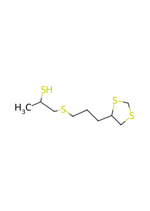 CC(S)CSCCCC1CSCS1